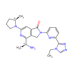 CCn1cnnc1-c1cccc(N2Cc3c(cc(N4CCC[C@H]4C)nc3[C@H](C)N)C2=O)n1